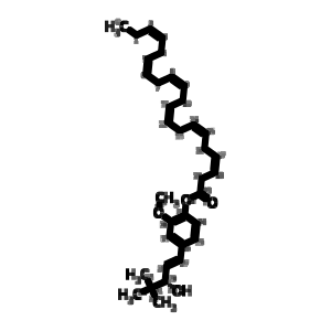 CC/C=C\C/C=C\C/C=C\C/C=C\C/C=C\C/C=C\CC(=O)Oc1ccc(/C=C/[C@H](O)C(C)(C)C)cc1OC